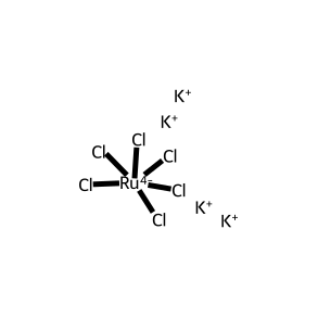 [Cl][Ru-4]([Cl])([Cl])([Cl])([Cl])[Cl].[K+].[K+].[K+].[K+]